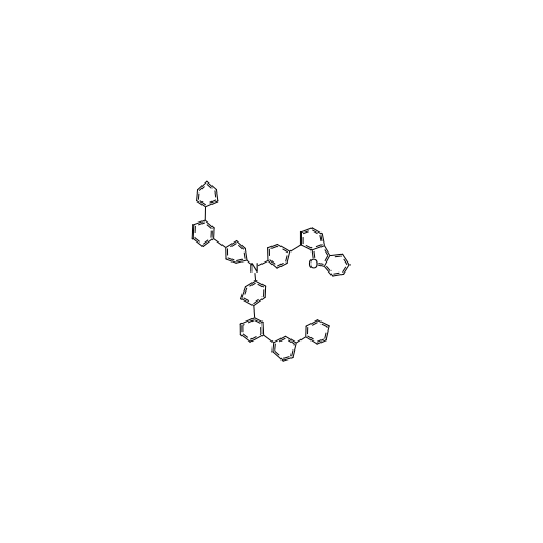 c1ccc(-c2cccc(-c3ccc(N(c4ccc(-c5cccc(-c6cccc(-c7ccccc7)c6)c5)cc4)c4ccc(-c5cccc6c5oc5ccccc56)cc4)cc3)c2)cc1